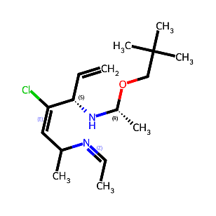 C=C[C@H](N[C@@H](C)OCC(C)(C)C)/C(Cl)=C\C(C)/N=C\C